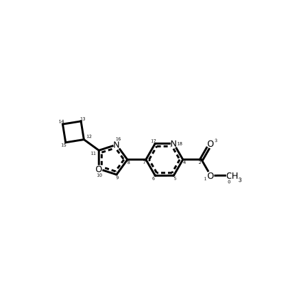 COC(=O)c1ccc(-c2coc(C3CCC3)n2)cn1